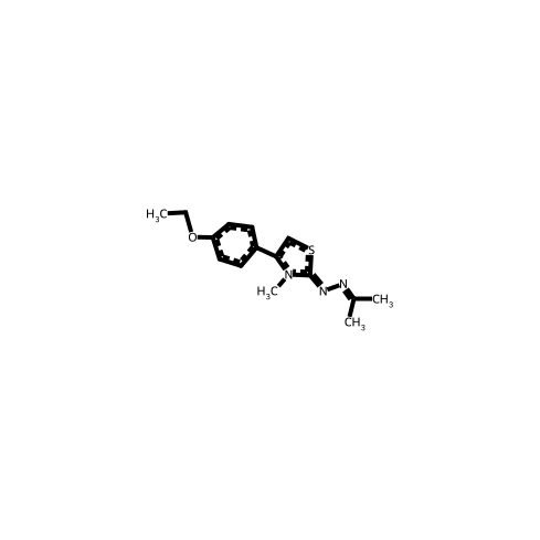 CCOc1ccc(-c2cs/c(=N\N=C(C)C)n2C)cc1